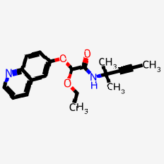 CC#CC(C)(C)NC(=O)C(OCC)Oc1ccc2ncccc2c1